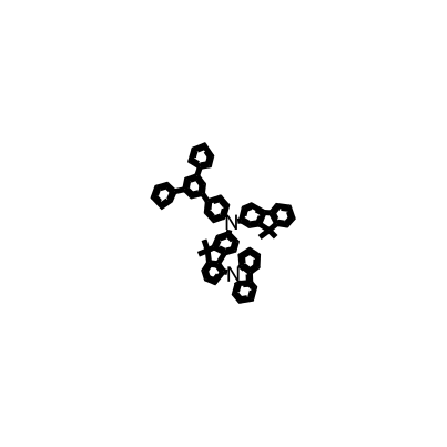 CC1(C)c2ccccc2-c2ccc(N(c3ccc(-c4cc(-c5ccccc5)cc(-c5ccccc5)c4)cc3)c3ccc4c(c3)C(C)(C)c3cccc(-n5c6ccccc6c6ccccc65)c3-4)cc21